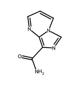 NC(=O)c1ncn2cccnc12